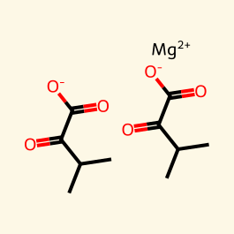 CC(C)C(=O)C(=O)[O-].CC(C)C(=O)C(=O)[O-].[Mg+2]